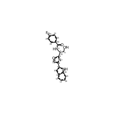 O=C(N[C@@H](CO)c1nc(-c2cc3ccccc3[nH]2)no1)c1ccc(F)cc1